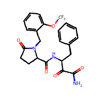 NC(=O)C(=O)C(Cc1ccccc1)NC(=O)C1CCC(=O)N1Cc1ccccc1OC(F)(F)F